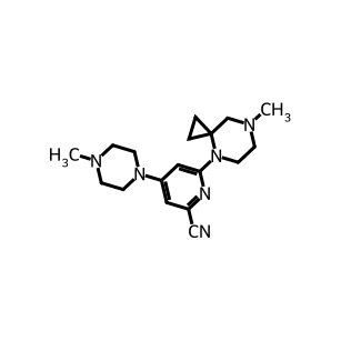 CN1CCN(c2cc(C#N)nc(N3CCN(C)CC34CC4)c2)CC1